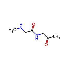 CNCC(=O)NCC(C)=O